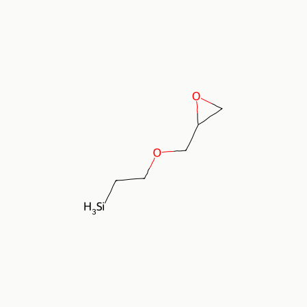 [SiH3]CCOCC1CO1